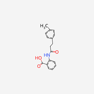 Cc1ccc(CCC(=O)Nc2ccccc2C(=O)O)cc1